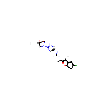 Cc1c(C(NC(=O)Nc2cnc(N3CC(C)(O)C3)nc2)C(C)C)oc2ccc(F)cc12